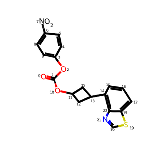 O=C(Oc1ccc([N+](=O)[O-])cc1)OC1CC(c2cccc3scnc23)C1